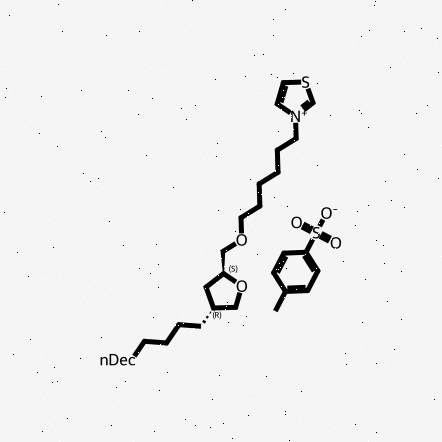 CCCCCCCCCCCCCC[C@H]1CO[C@H](COCCCCCC[n+]2ccsc2)C1.Cc1ccc(S(=O)(=O)[O-])cc1